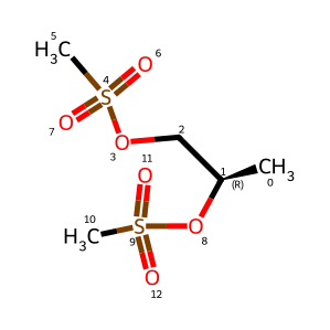 C[C@H](COS(C)(=O)=O)OS(C)(=O)=O